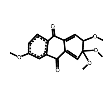 COc1ccc2c(c1)C(=O)C1=CC(OC)(OC)C(OC)C=C1C2=O